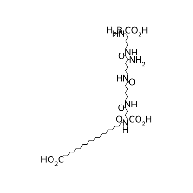 BNC(CCCCNC(=O)C(N)CCCCNC(=O)CCCCCNC(=O)CCC(NC(=O)CCCCCCCCCCCCCCCCCCC(=O)O)C(=O)O)C(=O)O